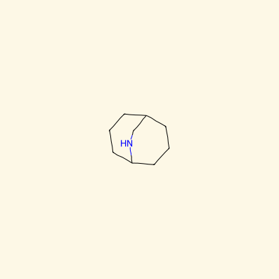 C1CC2CCCC(C1)NC2